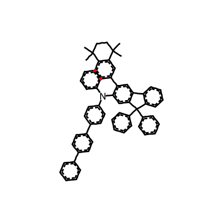 CC1(C)CCC(C)(C)c2cc(-c3cc4c(cc3N(c3ccccc3)c3ccc(-c5ccc(-c6ccccc6)cc5)cc3)C(c3ccccc3)(c3ccccc3)c3ccccc3-4)ccc21